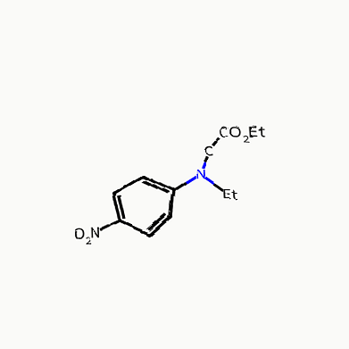 CCOC(=O)CN(CC)c1ccc([N+](=O)[O-])cc1